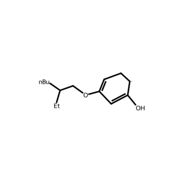 CCCCC(CC)COC1=CC[CH]C(O)=C1